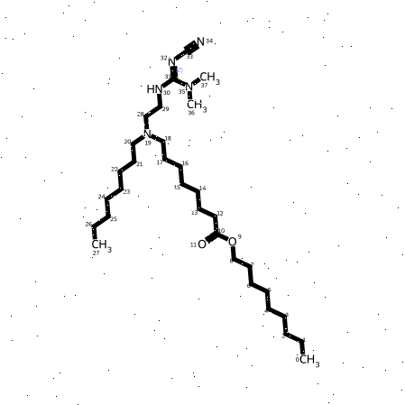 CCCCCCCCCOC(=O)CCCCCCCN(CCCCCCCC)CCN/C(=N/C#N)N(C)C